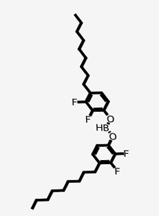 CCCCCCCCCc1ccc(OBOc2ccc(CCCCCCCCC)c(F)c2F)c(F)c1F